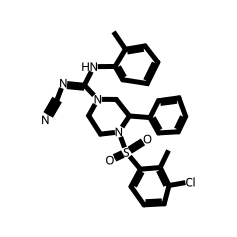 Cc1ccccc1N/C(=N/C#N)N1CCN(S(=O)(=O)c2cccc(Cl)c2C)C(c2ccccc2)C1